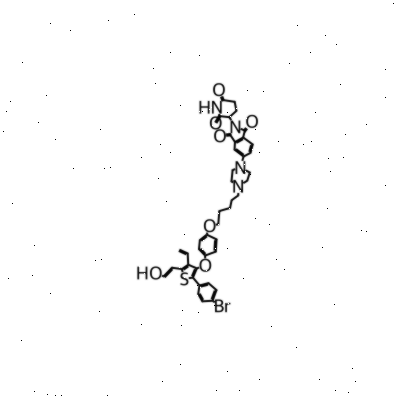 C=Cc1c(/C=C/O)sc(-c2ccc(Br)cc2)c1Oc1ccc(OCCCCCN2CCN(c3ccc4c(c3)C(=O)N(C3CCC(=O)NC3=O)C4=O)CC2)cc1